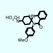 COc1ccc(N2C(=O)c3ccccc3NC23CCC(NC(=O)O)CC3)cc1